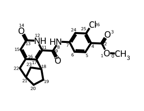 COC(=O)c1ccc(NC(=O)c2[nH]c(=O)cc3c2C2CCC(C3)C2)cc1Cl